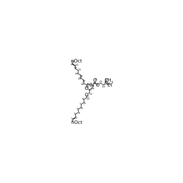 CCCCCCCCC=CCCCCCCCCOCC(CNC(=O)OCCN(C)CC)OCCCCCCCCC=CCCCCCCCC